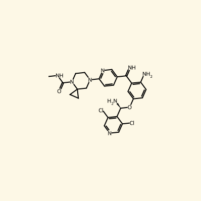 CNC(=O)N1CCN(c2ccc(C(=N)c3cc(O[C@H](N)c4c(Cl)cncc4Cl)ccc3N)cn2)CC12CC2